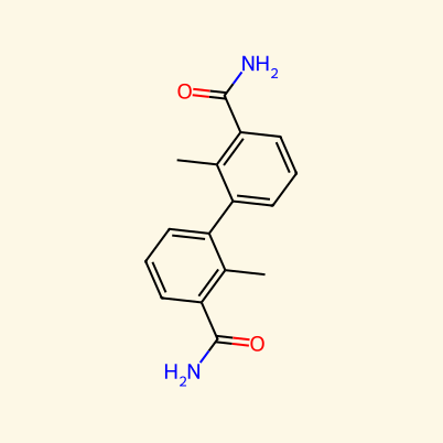 Cc1c(C(N)=O)cccc1-c1cccc(C(N)=O)c1C